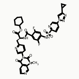 Cn1c(=O)n(-c2ccc(C[C@H](NC(=O)c3cc(F)c(NS(=O)(=O)c4ccc(-n5cc(C6CC6)nn5)cn4)cc3F)C(=O)OC3CCCCC3)nc2)c(=O)c2ccncc21